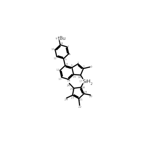 CC1=Cc2c(-c3ccc(C(C)(C)C)cc3)cccc2C1[SiH2]C1=C(C)C(C)=C(C)C1C